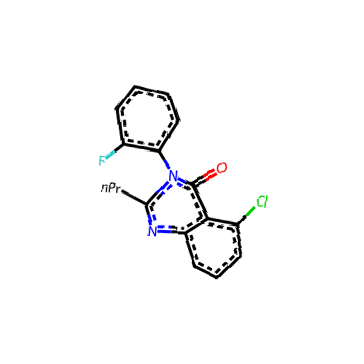 CCCc1nc2cccc(Cl)c2c(=O)n1-c1ccccc1F